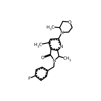 Cc1cc(N2CCOCC2C)nc2c1C(=O)N(Cc1ccc(F)cc1)C2C